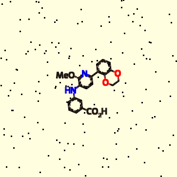 COc1nc(-c2cccc3c2OCCO3)ccc1Nc1cccc(C(=O)O)c1